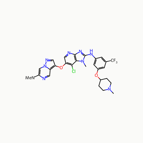 CNc1cn2ncc(Oc3cnc4nc(Nc5cc(OC6CCN(C)CC6)cc(C(F)(F)F)c5)n(C)c4c3Cl)c2cn1